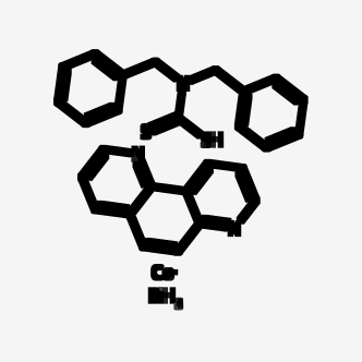 S=C(S)N(Cc1ccccc1)Cc1ccccc1.[BiH3].[Co].c1cnc2c(c1)ccc1ncccc12